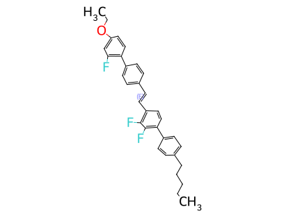 CCCCCc1ccc(-c2ccc(/C=C/c3ccc(-c4ccc(OCC)cc4F)cc3)c(F)c2F)cc1